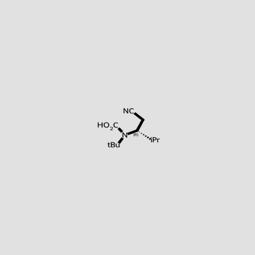 CC(C)[C@@H](CC#N)N(C(=O)O)C(C)(C)C